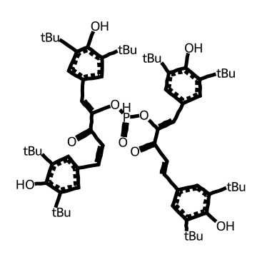 CC(C)(C)c1cc(C=CC(=O)C(=Cc2cc(C(C)(C)C)c(O)c(C(C)(C)C)c2)O[PH](=O)OC(=Cc2cc(C(C)(C)C)c(O)c(C(C)(C)C)c2)C(=O)C=Cc2cc(C(C)(C)C)c(O)c(C(C)(C)C)c2)cc(C(C)(C)C)c1O